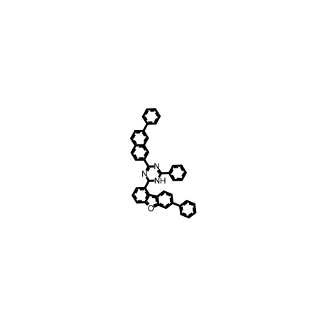 c1ccc(C2=NC(c3ccc4ccc(-c5ccccc5)cc4c3)=NC(c3cccc4oc5cc(-c6ccccc6)ccc5c34)N2)cc1